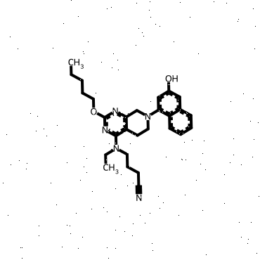 CCCCCOc1nc2c(c(N(CC)CCCC#N)n1)CCN(c1cc(O)cc3ccccc13)C2